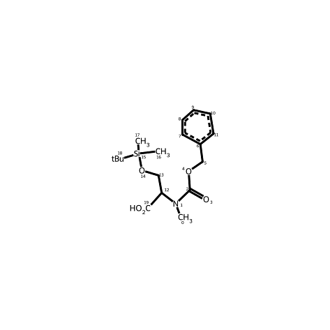 CN(C(=O)OCc1ccccc1)C(CO[Si](C)(C)C(C)(C)C)C(=O)O